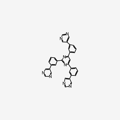 c1cc(-c2cncnc2)cc(-c2cc(-c3cccc(-c4cncnc4)c3)nc(-c3cccc(-c4cncnc4)c3)n2)c1